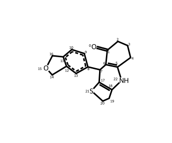 O=C1CCCC2=C1C(c1ccc3c(c1)COC3)C1=C(CCS1)N2